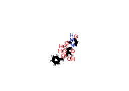 O=c1ccn([C@@H]2O[C@H](CO)[C@](O)(COCc3ccccc3)[C@H]2O)c(=O)[nH]1